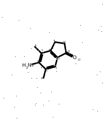 Cc1cc2c(c(C)c1N)CCC2=O